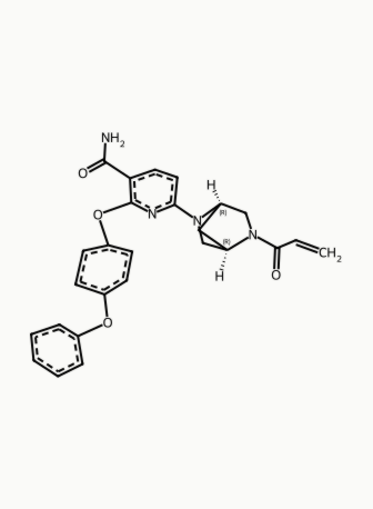 C=CC(=O)N1C[C@H]2C[C@@H]1CN2c1ccc(C(N)=O)c(Oc2ccc(Oc3ccccc3)cc2)n1